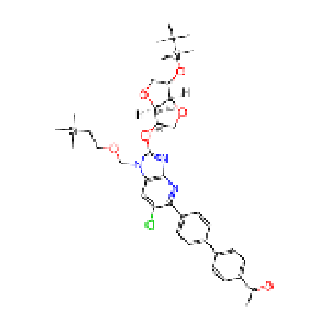 CC(=O)c1ccc(-c2ccc(-c3nc4nc(O[C@@H]5CO[C@@H]6C(O[Si](C)(C)C(C)(C)C)CO[C@@H]65)n(COCC[Si](C)(C)C)c4cc3Cl)cc2)cc1